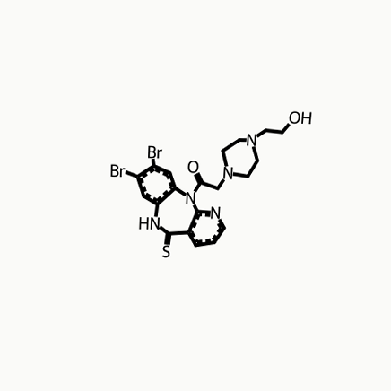 O=C(CN1CCN(CCO)CC1)N1c2cc(Br)c(Br)cc2NC(=S)c2cccnc21